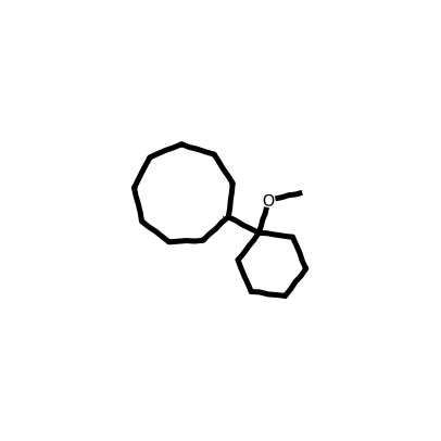 COC1([C]2CCCCCCCC2)CCCCC1